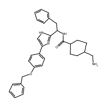 NCC1CCC(C(=O)NC(Cc2ccccc2)c2nc(-c3ccc(OCc4ccccc4)cc3)c[nH]2)CC1